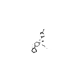 COCCN1C(=O)N(c2cnc(C#N)cn2)C[C@]12CC[C@](c1ccccc1)(N(C)C)CC2